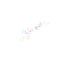 CCCc1c(OCCCn2ccc3c(OC(C)(C)C(=O)O)cccc32)ccc2c(C(=O)c3ccc(F)cc3)c[nH]c12